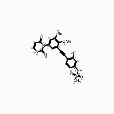 COc1c(C#Cc2ccc(NS(C)(=O)=O)cc2Cl)cc(-n2c(=O)cc[nH]c2=O)cc1C(C)(C)C